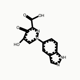 O=C(O)c1nn(-c2ccc3[nH]ncc3c2)cc(O)c1=O